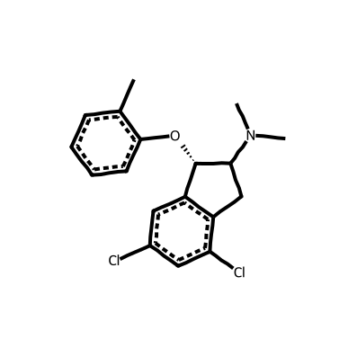 Cc1ccccc1O[C@H]1c2cc(Cl)cc(Cl)c2CC1N(C)C